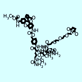 CCOC(=O)Nc1ccc2c(c1)Oc1cc(NC(=O)OCc3ccc(NC(=O)[C@H](CCCNC(N)=O)NC(=O)[C@@H](NC(=O)[C@H](CS(N)(=O)=O)NC(=O)CCOCCOCCOCCN4C(=O)C=CC4=O)C(C)C)cc3)ccc1C21OC(=O)c2ccccc21